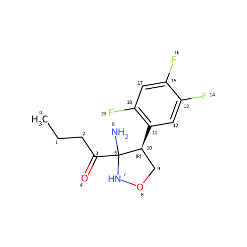 CCCC(=O)C1(N)NOC[C@@H]1c1cc(F)c(F)cc1F